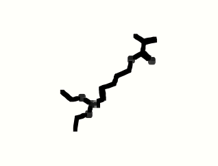 C=C(C)C(=O)OCCCC=C[SiH](OCC)OCC